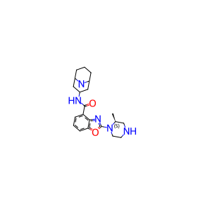 C[C@H]1CNCCN1c1nc2c(C(=O)NC3CC4CCCC(C3)N4C)cccc2o1